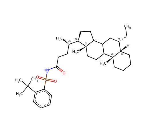 CC[C@H]1CC2C3CC[C@H]([C@H](C)CCC(=O)NS(=O)(=O)c4ccccc4C(C)(C)C)[C@@]3(C)CCC2[C@@]2(C)CCCC[C@@H]12